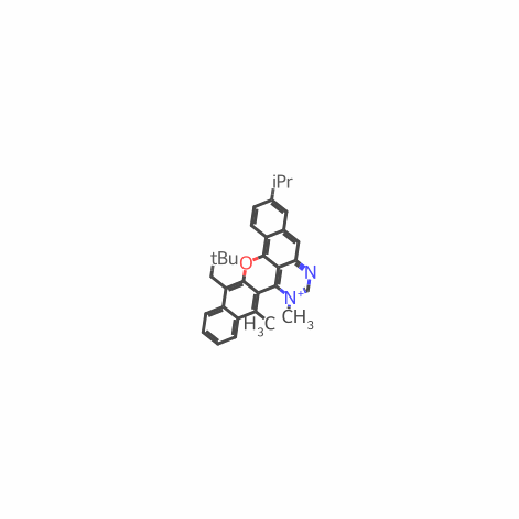 Cc1c2c(c(CC(C)(C)C)c3ccccc13)Oc1c3ccc(C(C)C)cc3cc3nc[n+](C)c-2c13